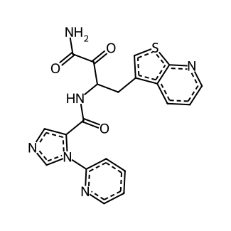 NC(=O)C(=O)C(Cc1csc2ncccc12)NC(=O)c1cncn1-c1ccccn1